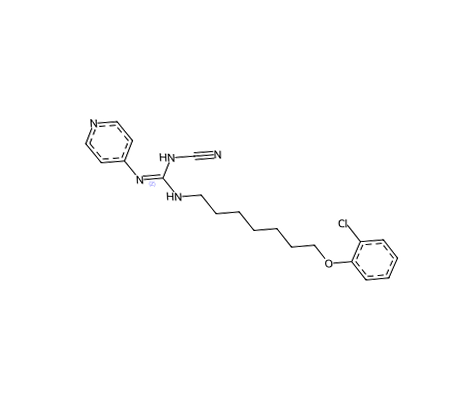 N#CN/C(=N\c1ccncc1)NCCCCCCCOc1ccccc1Cl